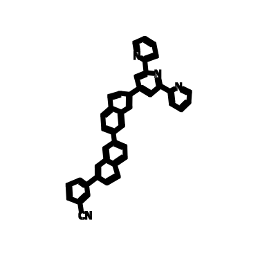 N#Cc1cccc(-c2ccc3ccc(-c4ccc5ccc(-c6cc(-c7ccccn7)nc(-c7ccccn7)c6)cc5c4)cc3c2)c1